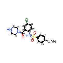 COc1ccc(S(=O)(=O)Nc2ccc(Cl)cc2C(=O)N2CCNCC2)cc1